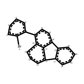 Brc1ccc[c]c1-c1ccc2c3c(cccc13)-c1ccccc1-2